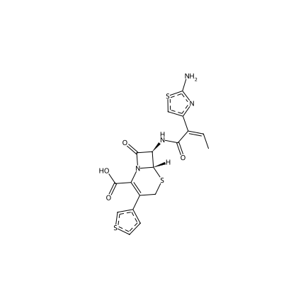 C/C=C(\C(=O)N[C@@H]1C(=O)N2C(C(=O)O)=C(c3ccsc3)CS[C@@H]12)c1csc(N)n1